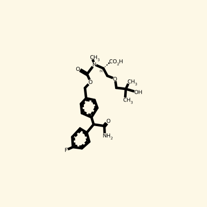 CN(C(=O)OCc1ccc(C(C(N)=O)c2ccc(F)cc2)cc1)[C@@H](COCC(C)(C)O)C(=O)O